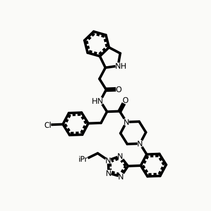 CC(C)Cn1nnc(-c2ccccc2N2CCN(C(=O)C(Cc3ccc(Cl)cc3)NC(=O)CC3NCc4ccccc43)CC2)n1